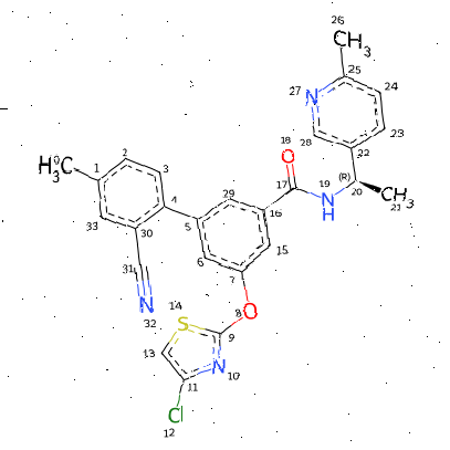 Cc1ccc(-c2cc(Oc3nc(Cl)cs3)cc(C(=O)N[C@H](C)c3ccc(C)nc3)c2)c(C#N)c1